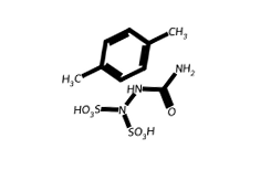 Cc1ccc(C)cc1.NC(=O)NN(S(=O)(=O)O)S(=O)(=O)O